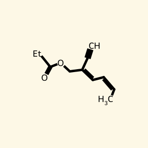 C#C/C(=C\C=C/C)COC(=O)CC